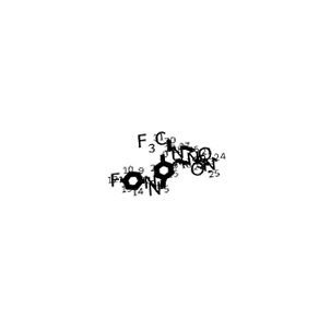 Cc1cc2c(cnn2-c2ccc(F)cc2)cc1[C@@H]1CN(S(=O)(=O)N(C)C)CCN1CCC(F)(F)F